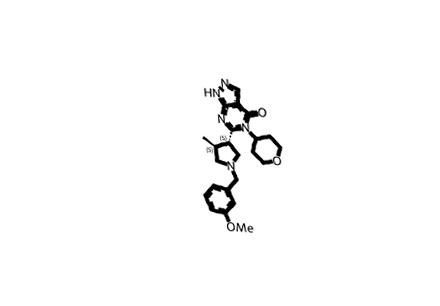 COc1cccc(CN2C[C@@H](C)[C@H](c3nc4[nH]ncc4c(=O)n3C3CCOCC3)C2)c1